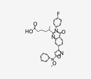 CO[C@H](c1ccccc1)c1cc(-c2ccc3c(=O)n(-c4ccc(F)cc4)c(C(C)CCCC(=O)O)nc3c2)no1